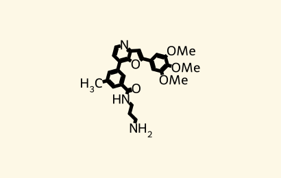 COc1cc(-c2cc3nccc(-c4cc(C)cc(C(=O)NCCCN)c4)c3o2)cc(OC)c1OC